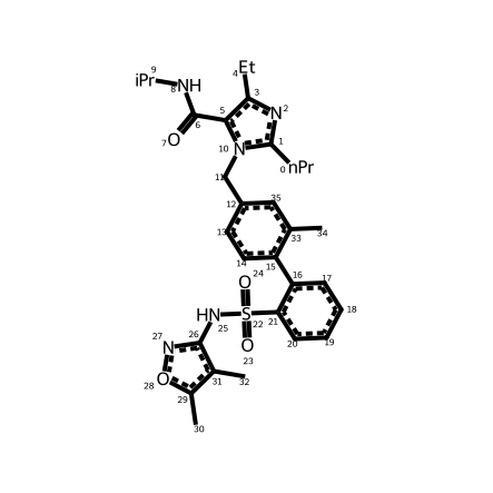 CCCc1nc(CC)c(C(=O)NC(C)C)n1Cc1ccc(-c2ccccc2S(=O)(=O)Nc2noc(C)c2C)c(C)c1